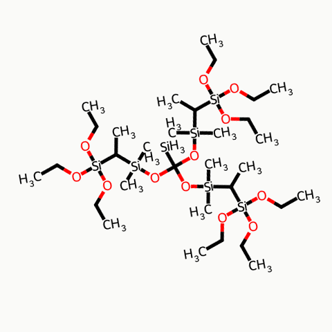 CCO[Si](OCC)(OCC)C(C)[Si](C)(C)OC([SiH3])(O[Si](C)(C)C(C)[Si](OCC)(OCC)OCC)O[Si](C)(C)C(C)[Si](OCC)(OCC)OCC